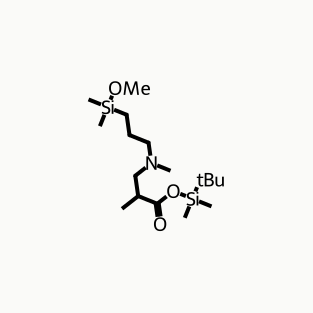 CO[Si](C)(C)CCCN(C)CC(C)C(=O)O[Si](C)(C)C(C)(C)C